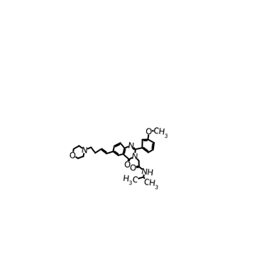 COc1cccc(-c2nc3ccc(C=CCCN4CCOCC4)cc3c(=O)n2CC(=O)NC(C)C)c1